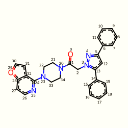 O=C(Cn1nc(-c2ccccc2)cc1-c1ccccc1)N1CCN(c2nccc3occc23)CC1